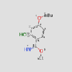 CCCCOc1ccc(C(=N)OCC)cc1.Cl